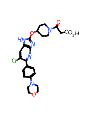 O=C(O)CC(=O)N1CCC(Oc2nc3nc(-c4ccc(N5CCOCC5)cc4)c(Cl)cc3[nH]2)CC1